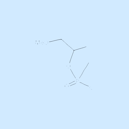 COCC(C)OP(C)(=O)Cl